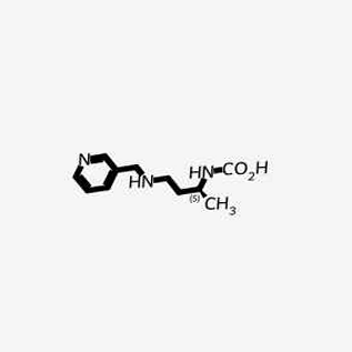 C[C@@H](CCNCc1cccnc1)NC(=O)O